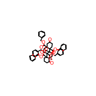 C[C@]12CCC3(C(=O)OCc4ccccc4)C4(C(=O)OCc5ccccc5)CCC(=O)CC4(C(=O)OCc4ccccc4)CCC3(C(=O)OCc3ccccc3)C1(C(=O)OCc1ccccc1)CCCC2=O